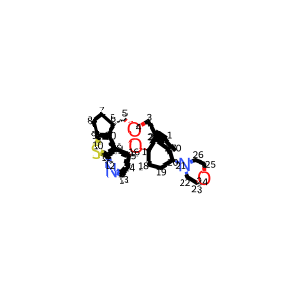 CC#CCOC[C@H]1CCc2sc3nccc(O[C@H]4CC[C@H](N5CCOCC5)CC4)c3c21